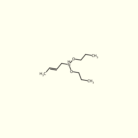 CC=CC[SiH](OCCC)OCCC